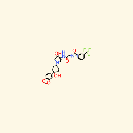 O=C(CNC(=O)c1cccc(C(F)(F)F)c1)N[C@H]1CN(C2CCC(O)(c3ccc4c(c3)OCO4)CC2)C[C@@H]1O